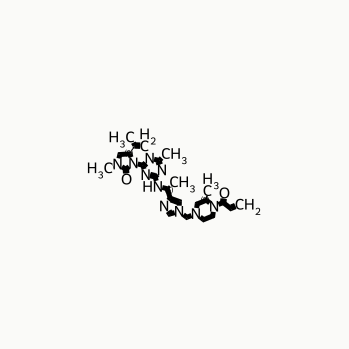 C=CC(=O)N1CCN(Cn2cnc([C@H](C)Nc3nc(C)nc(N4C(=O)N(C)C[C@@H]4C(=C)C)n3)c2)C[C@@H]1C